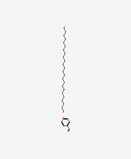 C=Cc1ccc(OCCCCCCCCCCCCCCCCCCCCCCCCC)cc1